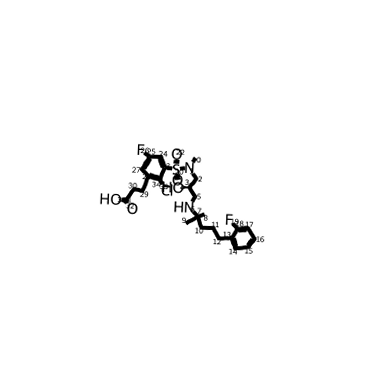 CN(C[C@H](O)CNC(C)(C)CCCc1ccccc1F)S(=O)(=O)c1cc(F)cc(CCC(=O)O)c1Cl